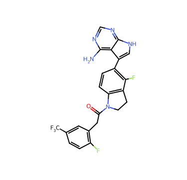 Nc1ncnc2[nH]cc(-c3ccc4c(c3F)CCN4C(=O)Cc3cc(C(F)(F)F)ccc3F)c12